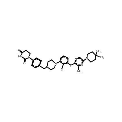 CC1(N)CCN(c2cnc(Sc3cccc(N4CCN(Cc5ccc(N6CCC(=O)NC6=O)cc5)CC4)c3Cl)c(N)n2)CC1